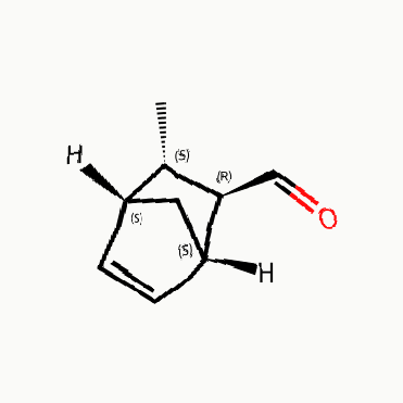 C[C@@H]1[C@@H](C=O)[C@@H]2C=C[C@H]1C2